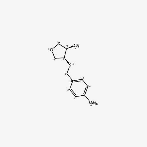 COc1ccc(CS[C@H]2COC[C@H]2C#N)cc1